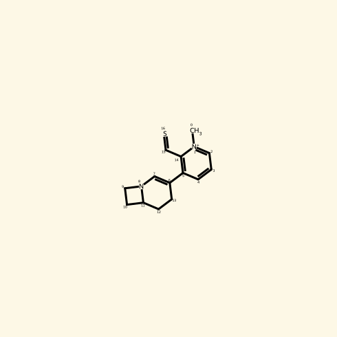 C[n+]1cccc(C2=CN3CCC3CC2)c1C=S